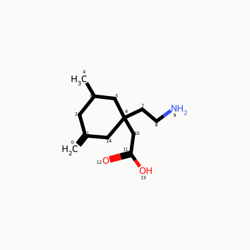 C=C1CC(C)CC(CCN)(CC(=O)O)C1